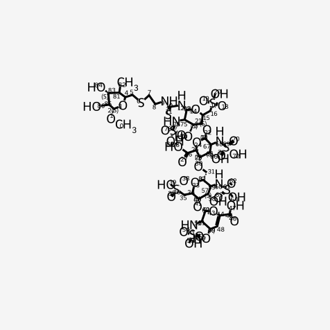 CO[C@H]1OC(CSCCNC(=S)N[C@@H]2OC(CS(=O)(=O)O)[C@@H](O[C@@H]3OC(C(=O)O)[C@@H](OC[C@H]4OC(CS(=O)(=O)O)[C@@H](O[C@@H]5OC(C(=O)O)=C[C@@H](O)C5NS(=O)(=O)O)[C@@H](O)C4NS(=O)(=O)O)[C@@H](O)C3NS(=O)(=O)O)[C@@H](O)C2NS(=O)(=O)O)C(C)[C@H](O)C1O